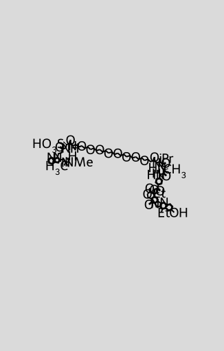 CCc1c2c(nc3ccc(O)cc13)-c1cc3c(c(=O)n1C2)COC(=O)[C@@]3(CC)OC(=O)c1ccc(NC(=O)[C@H](C)NC(=O)[C@@H](NC(=O)CCOCCOCCOCCOCCOCCOCCOCCOCCNC(=O)[C@H](CS(=O)(=O)O)NC(=O)CCn2c(CN(C)NC)cc3cccnc32)C(C)C)cc1